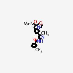 CNC(=O)C1Cc2ccc(-c3cc(NC(=O)c4cccc(C(F)(F)F)c4)cnc3C)cc2N2CCOCC12